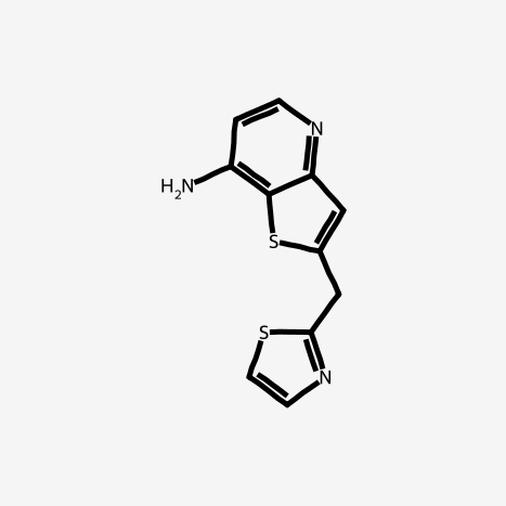 Nc1ccnc2cc(Cc3nccs3)sc12